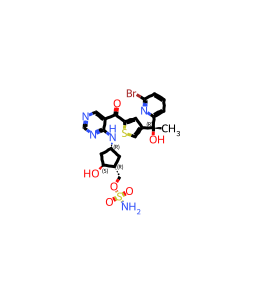 C[C@@](O)(c1csc(C(=O)c2cncnc2N[C@@H]2C[C@H](COS(N)(=O)=O)[C@@H](O)C2)c1)c1cccc(Br)n1